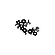 Cc1nnc2n1[C@@H]1C[C@H](c3c(OC(F)F)cccc3-2)n2c1nc1cc(F)c(-c3cnc(C4(N[S+]([O-])C(C)(C)C)CCCC4)c(F)c3)cc12